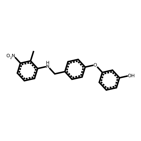 Cc1c(NCc2ccc(Oc3cccc(O)c3)cc2)cccc1[N+](=O)[O-]